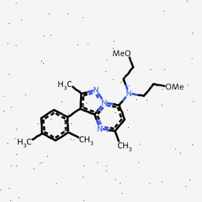 COCCN(CCOC)c1cc(C)nc2c(-c3ccc(C)cc3C)c(C)nn12